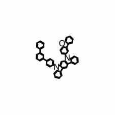 c1ccc(-c2cccc(-c3ccc(-n4c5ccccc5c5cc6c7ccccc7n(-c7ccc8oc9ccccc9c8c7)c6cc54)cc3)c2)cc1